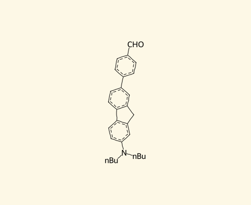 CCCCN(CCCC)c1ccc2c(c1)Cc1cc(-c3ccc(C=O)cc3)ccc1-2